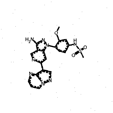 COc1cc(NS(C)(=O)=O)ccc1-n1nc(N)c2cnc(-c3cnn4cccnc34)cc21